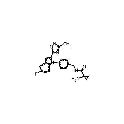 Cc1noc(-c2cc3cc(F)ccc3n2-c2ccc(CNC(=O)C3(N)CC3)cc2)n1